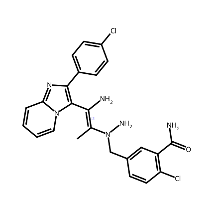 C/C(=C(/N)c1c(-c2ccc(Cl)cc2)nc2ccccn12)N(N)Cc1ccc(Cl)c(C(N)=O)c1